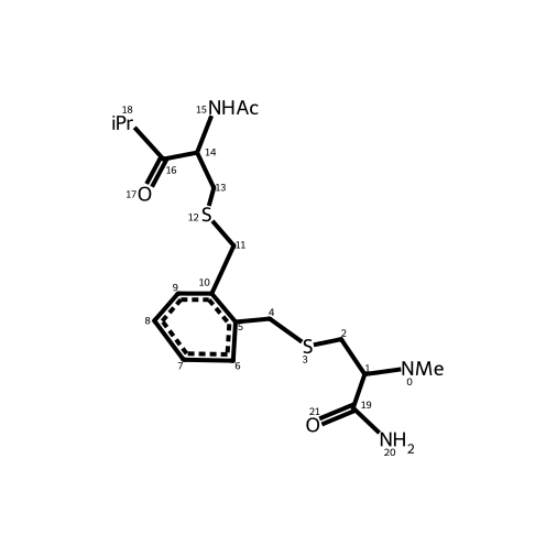 CNC(CSCc1ccccc1CSCC(NC(C)=O)C(=O)C(C)C)C(N)=O